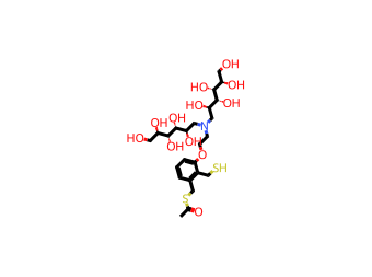 CC(=O)SCc1cccc(OCCN(C[C@@H](O)[C@@H](O)[C@H](O)[C@H](O)CO)C[C@@H](O)[C@@H](O)[C@H](O)[C@H](O)CO)c1CS